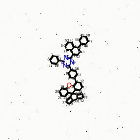 c1ccc(-c2nc(-c3ccc(-c4cccc5c4Oc4ccccc4C54c5ccccc5-c5ccccc54)cc3)nc(-c3ccc(-c4ccccc4)c4ccccc34)n2)cc1